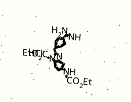 CCOC(=O)CNc1ccc2c(c1)nc(Cc1ccc(C(=N)N)cc1)n2CC(=O)OCC.Cl